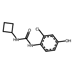 O=C(Nc1ccc(O)cc1Cl)NC1CCC1